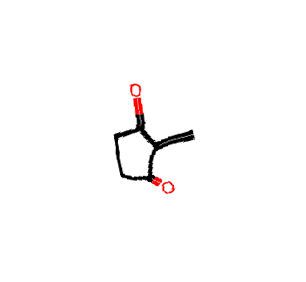 C=C1C(=O)CCC1=O